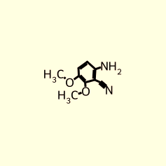 COc1ccc(N)c(C#N)c1OC